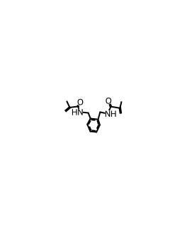 C=C(C)C(=O)NCc1ccccc1CNC(=O)C(=C)C